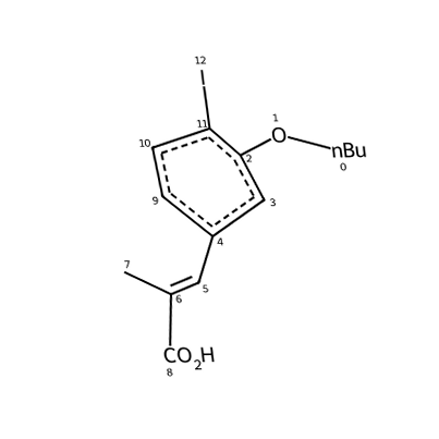 CCCCOc1cc(/C=C(\C)C(=O)O)ccc1I